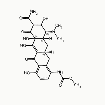 COC(=O)Nc1ccc(O)c2c1C[C@H]1C[C@H]3[C@H](N(C)C)C(O)C(C(N)=O)C(=O)[C@@]3(O)C(O)=C1C2=O